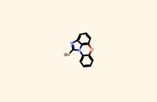 CC(C)(C)c1nc2cccc3c2n1-c1ccccc1O3